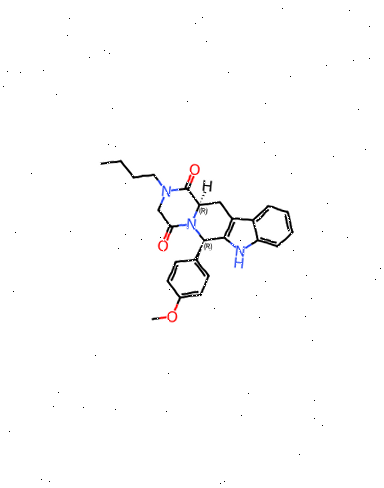 CCCCN1CC(=O)N2[C@H](c3ccc(OC)cc3)c3[nH]c4ccccc4c3C[C@@H]2C1=O